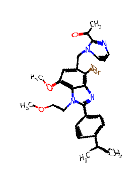 COCCn1c(-c2ccc(C(C)C)cc2)nc2c(Br)c(Cn3ccnc3C(C)=O)cc(OC)c21